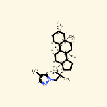 Cc1cnn(CC(C)(C)[C@H]2CCC3[C@@H]4CC[C@]5(C)C[C@@H](C)CC[C@@H]5C4CC[C@@]32C)c1